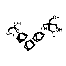 C1=CC2CCC1C2.C1=CC2CCC1C2.C1=CC2CCC1C2.CCC(=O)O.CCC(CO)(CO)CO